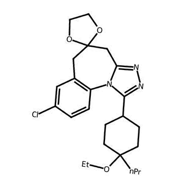 CCCC1(OCC)CCC(c2nnc3n2-c2ccc(Cl)cc2CC2(C3)OCCO2)CC1